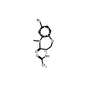 CN1C(=O)[C@@H](NC(=O)C(F)(F)F)COc2ccc(Br)cc21